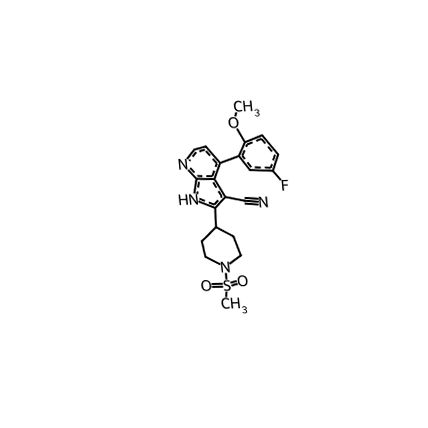 COc1ccc(F)cc1-c1ccnc2[nH]c(C3CCN(S(C)(=O)=O)CC3)c(C#N)c12